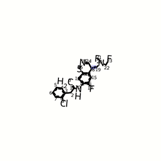 C=C(Cc1ccccc1Cl)Nc1cc2c(cc1F)/C(=C/N(F)CF)C=NS2